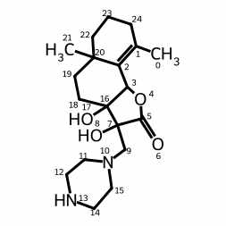 CC1=C2C3OC(=O)C(O)(CN4CCNCC4)C3(O)CCC2(C)CCC1